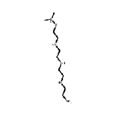 C[SiH](C)OCCNCCNCCNCCN